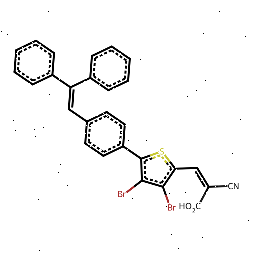 N#C/C(=C/c1sc(-c2ccc(C=C(c3ccccc3)c3ccccc3)cc2)c(Br)c1Br)C(=O)O